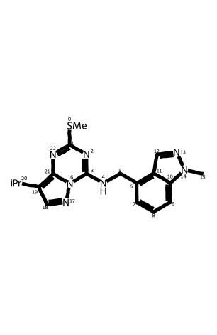 CSc1nc(NCc2cccc3c2cnn3C)n2ncc(C(C)C)c2n1